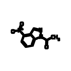 CC(=O)n1ncc2c([N+](=O)[O-])cccc21